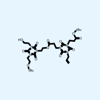 C=CCn1c(=O)n(CCC(=O)OCCn2c(=O)n(CCO)c(=O)n(CCOC(C)(C)C)c2=O)c(=O)n(CCC(=O)OC(C)(C)C)c1=O